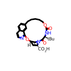 CCC1[C@H]2C[C@@H](C(=O)O)N1C(=O)[C@H](C(C)(C)C)NC(=O)OCCCCCc1ccc3ccnc(c3c1)O2